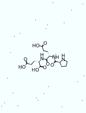 O=C(O)CC[C@H](NC(=O)[C@H](CCC(=O)O)NC(=O)[C@@H]1CCCN1)C(=O)O